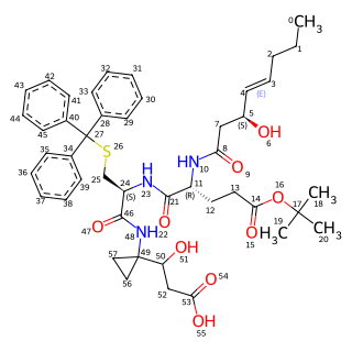 CCC/C=C/[C@@H](O)CC(=O)N[C@H](CCC(=O)OC(C)(C)C)C(=O)N[C@H](CSC(c1ccccc1)(c1ccccc1)c1ccccc1)C(=O)NC1(C(O)CC(=O)O)CC1